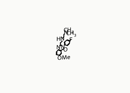 COc1ccc2nc(CCNCCN(C)C)n(-c3ccc(F)cc3)c(=O)c2c1